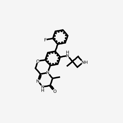 CC1C(=O)NN=C2COc3cc(-c4ccccc4F)c(NC4(C)CNC4)cc3N21